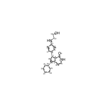 O=c1[nH]cnc2c1c(-c1cnc(NCCO)nc1)cn2-c1ccccc1